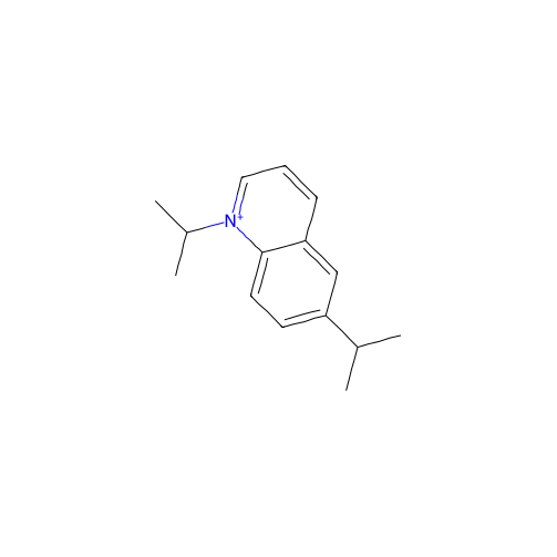 CC(C)c1ccc2c(ccc[n+]2C(C)C)c1